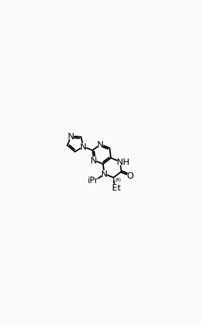 CC[C@@H]1C(=O)Nc2cnc(-n3ccnc3)nc2N1C(C)C